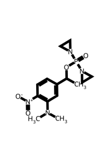 CC(OP(=O)(N1CC1)N1CC1)c1ccc([N+](=O)[O-])c(N(C)C)c1